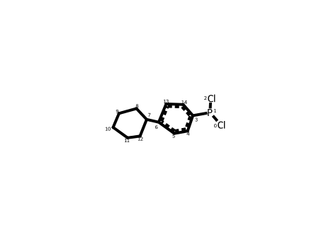 ClP(Cl)c1ccc(C2CCCCC2)cc1